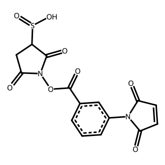 O=C(ON1C(=O)CC(S(=O)O)C1=O)c1cccc(N2C(=O)C=CC2=O)c1